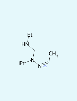 C/C=N\N(CNCC)C(C)C